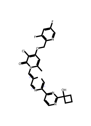 C\C=C(/N=C\C(C)=C\n1c(C)cc(OCc2ncc(F)cc2F)c(Cl)c1=O)c1ccnc(C2(O)CCC2)n1